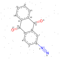 N#[N+]c1ccc2c(c1)C(=O)c1ccccc1C2=O